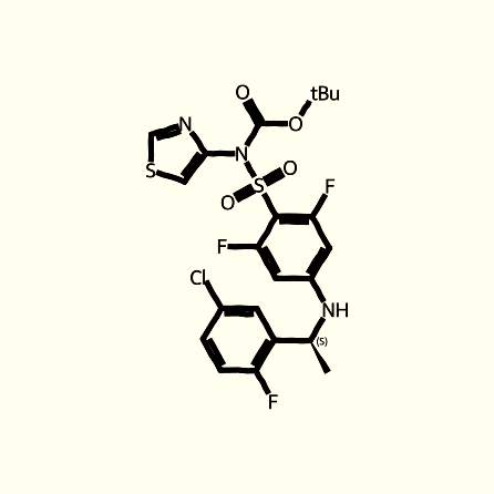 C[C@H](Nc1cc(F)c(S(=O)(=O)N(C(=O)OC(C)(C)C)c2cscn2)c(F)c1)c1cc(Cl)ccc1F